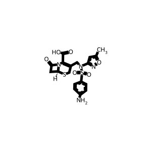 Cc1cc(N(CC2=C(C(=O)O)N3C(=O)C[C@@H]3SC2)S(=O)(=O)c2ccc(N)cc2)no1